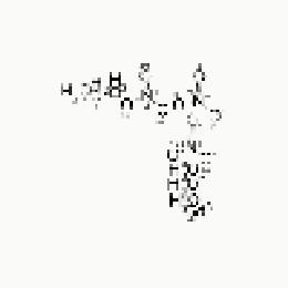 O.O.O.O.O.O.O=[N+]([O-])[O-].O=[N+]([O-])[O-].O=[N+]([O-])[O-].[Gd+3]